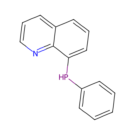 c1ccc(Pc2cccc3cccnc23)cc1